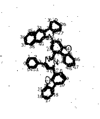 c1ccc(-c2cc(-c3cccc4c3oc3ccccc34)nc(-c3cc(-n4c5ccccc5c5cc6ccccc6cc54)cc4oc5ccccc5c34)n2)cc1